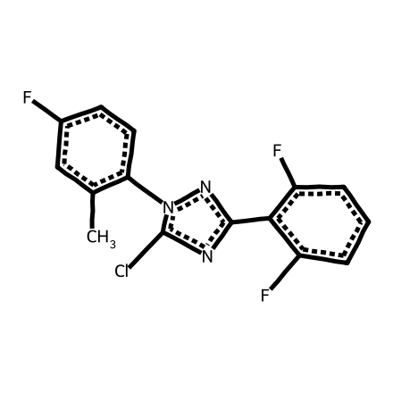 Cc1cc(F)ccc1-n1nc(-c2c(F)cccc2F)nc1Cl